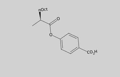 CCCCCCCC[C@H](C)C(=O)Oc1ccc(C(=O)O)cc1